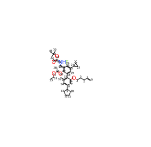 C=CCCCOc1cc(C2CCCC2)cc(C)c1-c1cc(C2CC2)c(F)c([C@H](CC(=O)OCC)NC(=O)OC(C)(C)C)c1